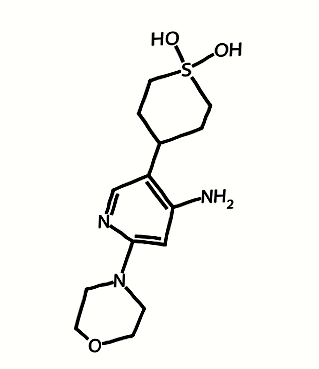 Nc1cc(N2CCOCC2)ncc1C1CCS(O)(O)CC1